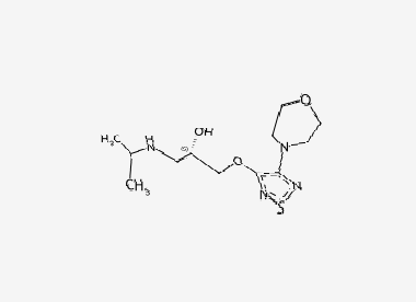 CC(C)NC[C@H](O)COc1nsnc1N1CCOCC1